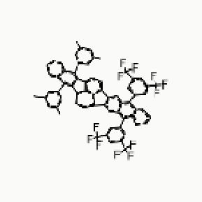 Cc1cc(C)cc(-c2c3c(c(-c4cc(C)cc(C)c4)c4ccccc24)-c2ccc4c5c(ccc-3c25)-c2cc3c(-c5cc(C(F)(F)F)cc(C(F)(F)F)c5)c5ccccc5c(-c5cc(C(F)(F)F)cc(C(F)(F)F)c5)c3cc2-4)c1